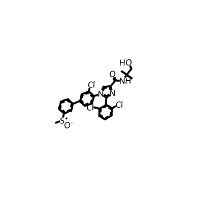 C[S+]([O-])c1cccc(-c2ccc(-n3cc(C(=O)NC(C)(C)CO)nc3-c3c(Cl)cccc3Cl)c(Cl)c2)c1